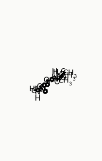 CC(NC(=O)OC(C)(C)C)C(=O)Nc1ccc(C(=O)N2CCc3c2ccc(S(=O)(=O)[C@H]2CNC(=O)N2)c3-c2ccccc2)cc1